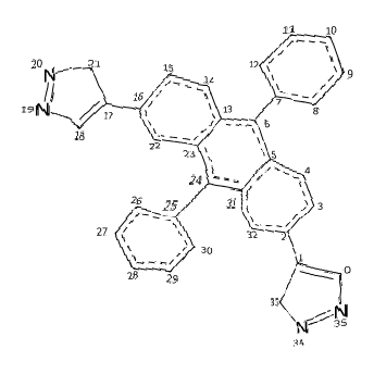 C1=C(c2ccc3c(-c4ccccc4)c4ccc(C5=CN=NC5)cc4c(-c4ccccc4)c3c2)CN=N1